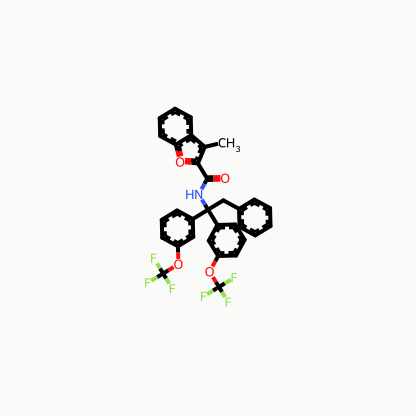 Cc1c(C(=O)NC(Cc2ccccc2)(c2cccc(OC(F)(F)F)c2)c2cccc(OC(F)(F)F)c2)oc2ccccc12